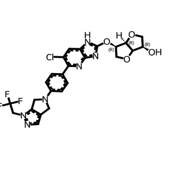 O[C@@H]1CO[C@H]2C1OC[C@H]2Oc1nc2nc(-c3ccc(N4Cc5cnn(CC(F)(F)F)c5C4)cc3)c(Cl)cc2[nH]1